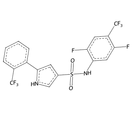 O=S(=O)(Nc1cc(F)c(C(F)(F)F)cc1F)c1c[nH]c(-c2ccccc2C(F)(F)F)c1